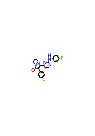 O=c1c(-c2ccc(F)cc2)c(-c2ccnc(Nc3ccc(F)cc3)n2)n2n1CCC2